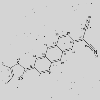 CC1=C(C)SC(=c2ccc3cc4cc(=C(C#N)C#N)ccc4cc3c2)S1